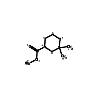 CC(C)(C)OC(=O)N1CCOC(C)(C)C1